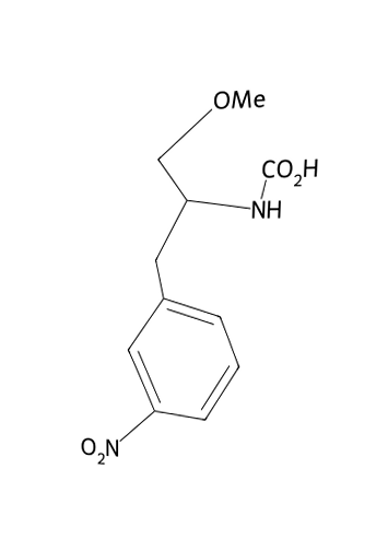 COCC(Cc1cccc([N+](=O)[O-])c1)NC(=O)O